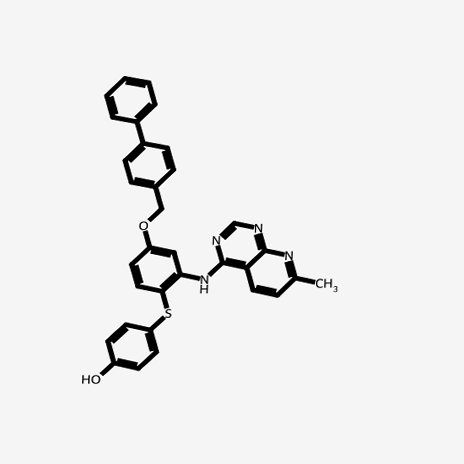 Cc1ccc2c(Nc3cc(OCc4ccc(-c5ccccc5)cc4)ccc3Sc3ccc(O)cc3)ncnc2n1